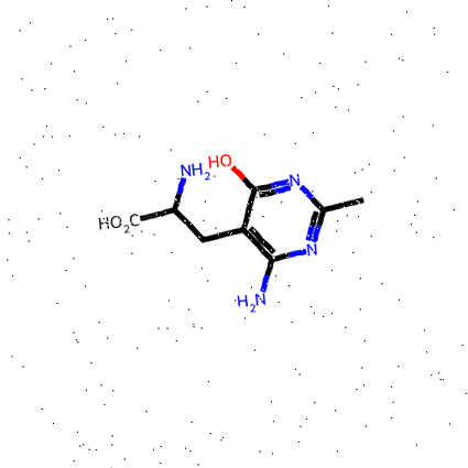 Cc1nc(N)c(CC(N)C(=O)O)c(O)n1